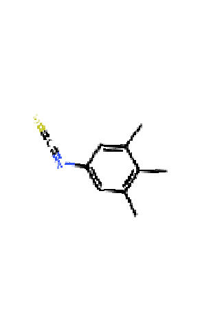 Cc1cc(N=C=S)cc(C)c1C